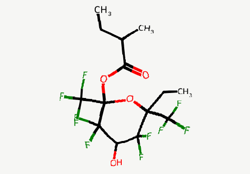 CCC(C)C(=O)OC1(C(F)(F)F)OC(CC)(C(F)(F)F)C(F)(F)C(O)C1(F)F